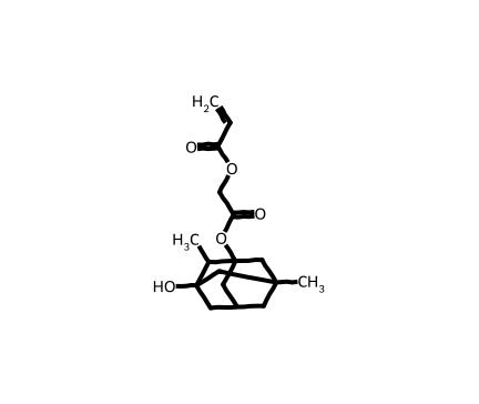 C=CC(=O)OCC(=O)OC12CC3CC(C)(CC(O)(C3)C1C)C2